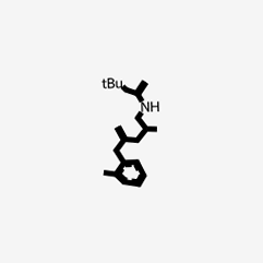 C=C(Cc1ccccc1C)CC(C)CNC(=C)CC(C)(C)C